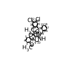 COc1ccccc1N1CCNC(NCc2ccccc2)C1C(=O)C(C)OCc1ccc(Cl)c(Cl)c1